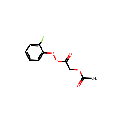 CC(=O)OCC(=O)OOc1ccccc1F